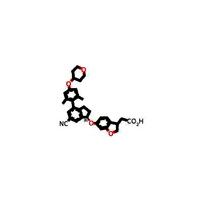 Cc1cc(OC2CCOCC2)cc(C)c1-c1cc(C#N)cc2c1CC[C@H]2Oc1ccc2c(c1)OCC2CC(=O)O